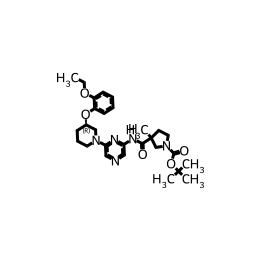 CCOc1ccccc1O[C@@H]1CCCN(c2cncc(NC(=O)C3(C)CCN(C(=O)OC(C)(C)C)C3)n2)C1